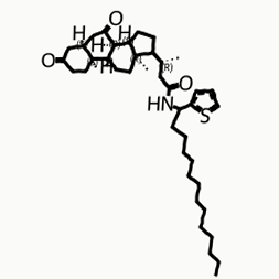 CCCCCCCCCCCCCC(NC(=O)C[C@@H](C)C1CC[C@H]2[C@@H]3C(=O)C[C@@H]4CC(=O)CC[C@]4(C)[C@H]3CC[C@]12C)c1cccs1